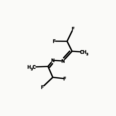 CC(=NN=C(C)C(F)F)C(F)F